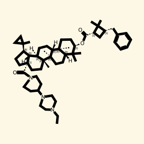 CCN1CCN(C2CCN(C(=O)[C@]34CC[C@@H](C5(C)CC5)[C@@H]3[C@H]3CC[C@@H]5[C@@]6(C)CC[C@H](OC(=O)[C@H]7C[C@@H](Cc8ccccc8)C7(C)C)C(C)(C)[C@@H]6CC[C@@]5(C)[C@]3(C)CC4)CC2)CC1